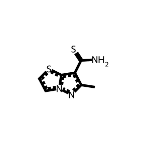 Cc1nn2ccsc2c1C(N)=S